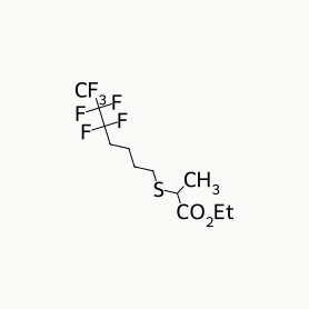 CCOC(=O)C(C)SCCCCC(F)(F)C(F)(F)C(F)(F)F